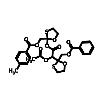 CC(=O)OC(C(=O)OC1(COC(=O)c2ccc(C)cc2)OCCS1)C1(COC(=O)c2ccccc2)OCCS1